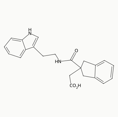 O=C(O)CC1(C(=O)NCCc2c[nH]c3ccccc23)Cc2ccccc2C1